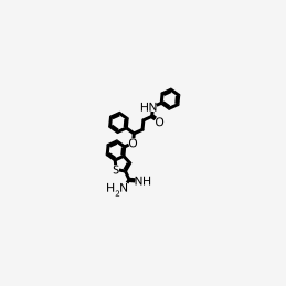 N=C(N)c1cc2c(OC(CCC(=O)Nc3ccccc3)c3ccccc3)cccc2s1